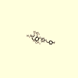 CCN(C)/C=N\c1cc(C)c(Oc2nc(SCc3ccc(F)cc3)ns2)cc1C